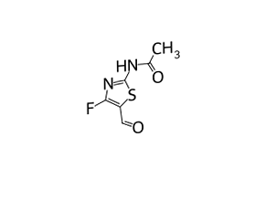 CC(=O)Nc1nc(F)c(C=O)s1